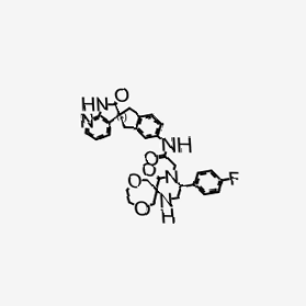 O=C(CN1C(=O)C2(COCCOC2)NCC1c1ccc(F)cc1)Nc1ccc2c(c1)C[C@]1(C2)C(=O)Nc2ncccc21